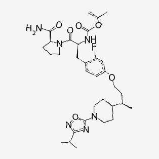 C=C(C)OC(=O)N[C@@H](Cc1ccc(OCC[C@@H](C)C2CCN(c3nc(C(C)C)no3)CC2)cc1F)C(=O)N1CCC[C@H]1C(N)=O